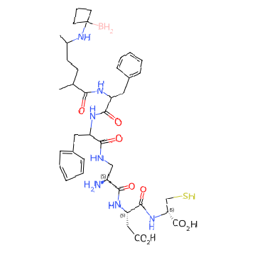 BC1(NC(C)CCC(C)C(=O)NC(Cc2ccccc2)C(=O)NC(Cc2ccccc2)C(=O)NC[C@H](N)C(=O)N[C@@H](CC(=O)O)C(=O)N[C@H](CS)C(=O)O)CCC1